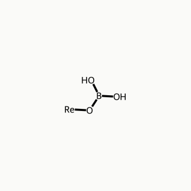 OB(O)[O][Re]